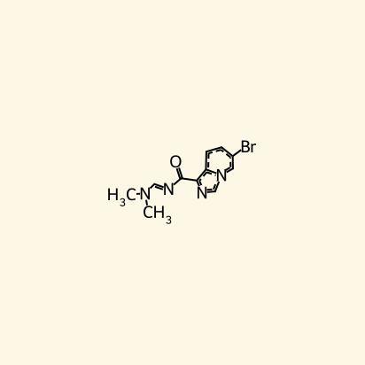 CN(C)C=NC(=O)c1ncn2cc(Br)ccc12